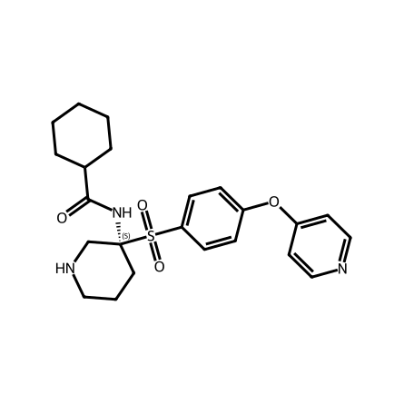 O=C(N[C@]1(S(=O)(=O)c2ccc(Oc3ccncc3)cc2)CCCNC1)C1CCCCC1